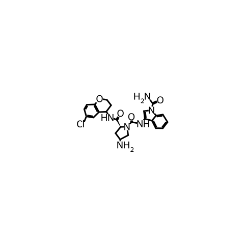 NC(=O)n1cc(NC(=O)N2C[C@@H](N)C[C@H]2C(=O)NC2CCOc3ccc(Cl)cc32)c2ccccc21